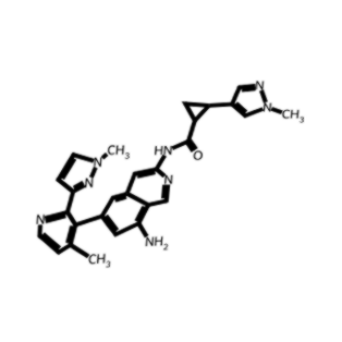 Cc1ccnc(-c2ccn(C)n2)c1-c1cc(N)c2cnc(NC(=O)C3CC3c3cnn(C)c3)cc2c1